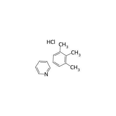 Cc1cccc(C)c1C.Cl.c1ccncc1